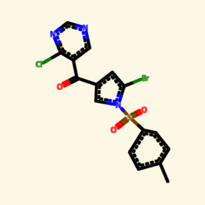 Cc1ccc(S(=O)(=O)n2cc(C(=O)c3cncnc3Cl)cc2Br)cc1